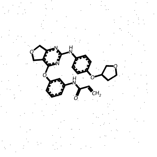 C=CC(=O)Nc1cccc(Oc2nc(Nc3ccc(OC4CCOC4)cc3)nc3c2COC3)c1